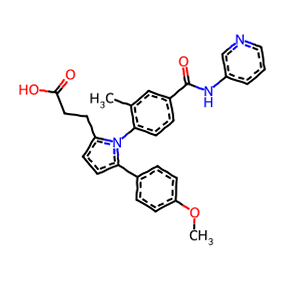 COc1ccc(-c2ccc(CCC(=O)O)n2-c2ccc(C(=O)Nc3cccnc3)cc2C)cc1